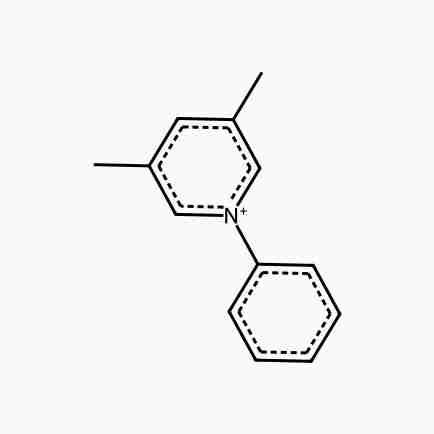 Cc1cc(C)c[n+](-c2ccccc2)c1